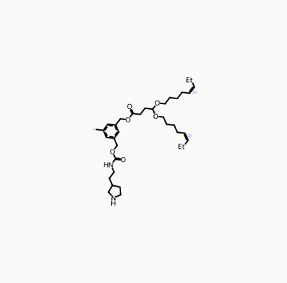 [CH2]c1cc(COC(=O)CCC(OCCCC/C=C\CC)OCCCC/C=C\CC)cc(COC(=O)NCCC2CCNC2)c1